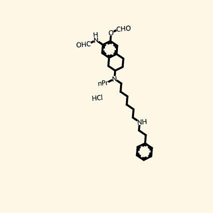 CCCN(CCCCCCNCCc1ccccc1)C1CCc2cc(OC=O)c(NC=O)cc2C1.Cl